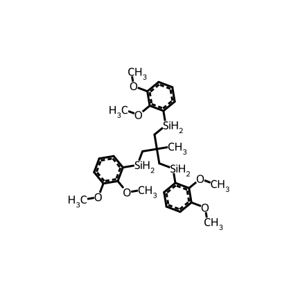 COc1cccc([SiH2]CC(C)(C[SiH2]c2cccc(OC)c2OC)C[SiH2]c2cccc(OC)c2OC)c1OC